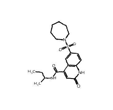 CCC(C)NC(=O)c1cc(=O)[nH]c2ccc(S(=O)(=O)N3CCCCCC3)cc12